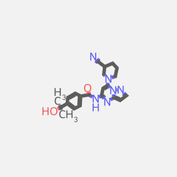 CC(C)(O)c1ccc(C(=O)Nc2cc(N3CCCC(C#N)C3)n3nccc3n2)cc1